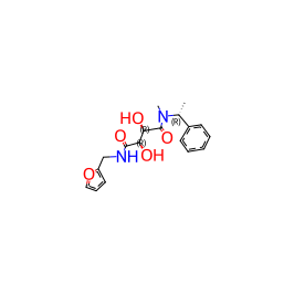 C[C@H](c1ccccc1)N(C)C(=O)[C@H](O)[C@@H](O)C(=O)NCc1ccco1